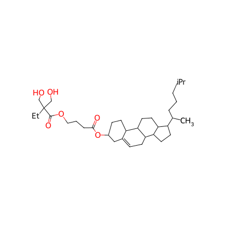 CCC(CO)(CO)C(=O)OCCCC(=O)OC1CCC2C(=CCC3C2CCC2C(C(C)CCCC(C)C)CCC23)C1